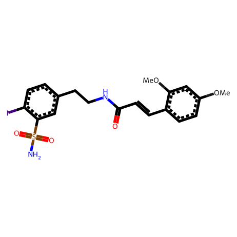 COc1ccc(C=CC(=O)NCCc2ccc(I)c(S(N)(=O)=O)c2)c(OC)c1